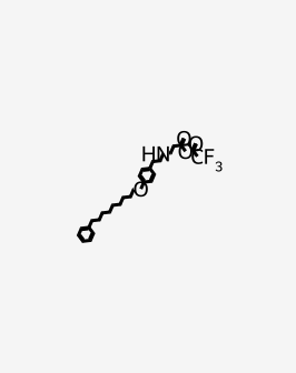 O=C(CCNCCc1ccc(OCCCCCCCCCc2ccccc2)cc1)OC(=O)C(F)(F)F